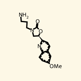 COc1ccc2nc([C@H]3CN(CCCN)C(=O)O3)ccc2c1